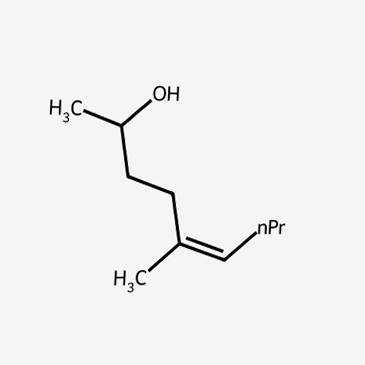 CCCC=C(C)CCC(C)O